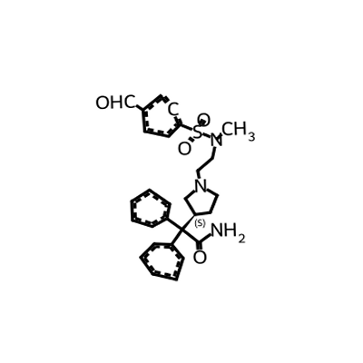 CN(CCN1CC[C@@H](C(C(N)=O)(c2ccccc2)c2ccccc2)C1)S(=O)(=O)c1ccc(C=O)cc1